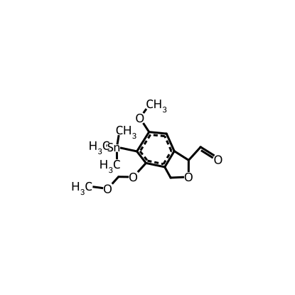 COCOc1c2c(cc(OC)[c]1[Sn]([CH3])([CH3])[CH3])C(C=O)OC2